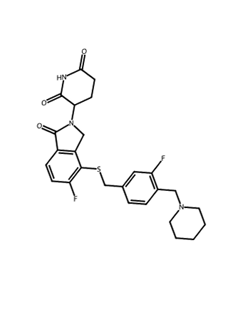 O=C1CCC(N2Cc3c(ccc(F)c3SCc3ccc(CN4CCCCC4)c(F)c3)C2=O)C(=O)N1